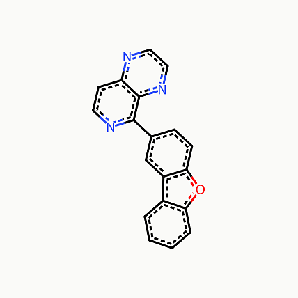 c1ccc2c(c1)oc1ccc(-c3nccc4nccnc34)cc12